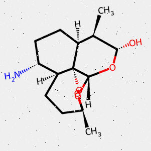 C[C@H]1[C@H](O)O[C@@H]2O[C@@]3(C)CC[C@H]4[C@H](N)CC[C@@H]1[C@@]24OO3